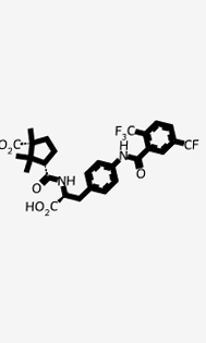 CC1(C)[C@@H](C(=O)N[C@@H](Cc2ccc(NC(=O)c3cc(C(F)(F)F)ccc3C(F)(F)F)cc2)C(=O)O)CC[C@@]1(C)C(=O)O